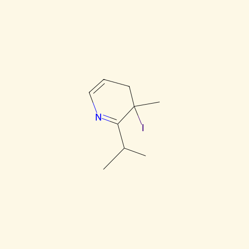 CC(C)C1=NC=CCC1(C)I